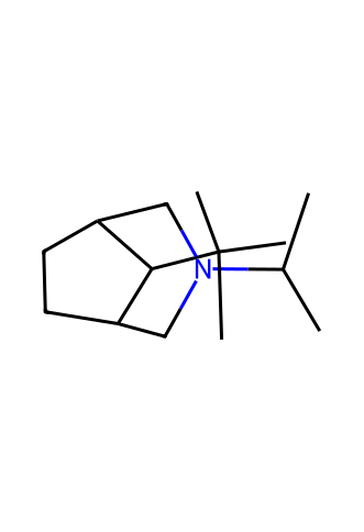 CC(C)N1CC2CCC(C1)C2C(C)(C)C